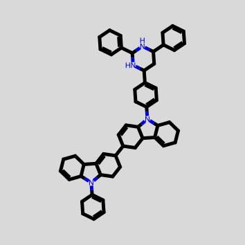 C1=CCCC(N2C3CCC(C4C=CC5C(C4)C4=CCCCC4N5C4=CC=C(C5CC(C6C=CC=CC6)NC(C6=CCCC=C6)N5)CC4)C=C3C3CCC=CC32)=C1